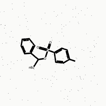 CCCCC(OS(=O)(=O)c1ccc(C)cc1)c1ccccc1